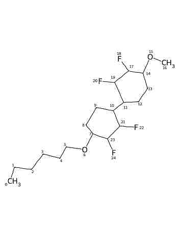 CCCCCCOC1CCC(C2CCC(OC)C(F)C2F)C(F)C1F